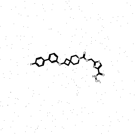 CNC(=O)c1csc(COC(=O)N2CCC3(CC2)CC(Oc2cccc(-c4ccc(F)cc4)c2)C3)n1